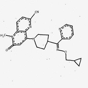 Cn1c(=O)cc(N2CCC(/C(=N/OCC3CC3)c3ccccn3)CC2)c2nc(C#N)ccc21